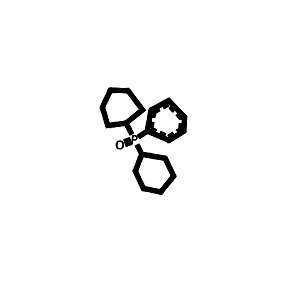 O=P(c1ccccc1)(C1CCCCC1)C1CCCCC1